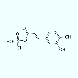 O=C(C=Cc1ccc(O)c(O)c1)O[SH](=O)(O)Cl